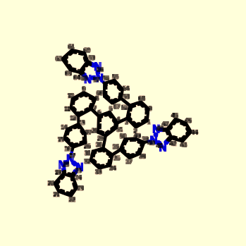 c1ccc(-c2cc(-c3ccccc3-c3ccc(-n4nc5ccccc5n4)cc3)cc(-c3ccccc3-c3ccc(-n4nc5ccccc5n4)cc3)c2)c(-c2ccc(-n3nc4ccccc4n3)cc2)c1